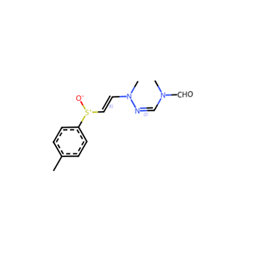 Cc1ccc([S+]([O-])/C=C/N(C)/N=C\N(C)C=O)cc1